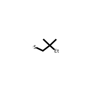 [CH2]CC(C)(C)C[S]